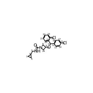 O=C(NCC1CC1)N1CC(OC(c2ccc(Cl)cc2)c2ccccc2Cl)C1